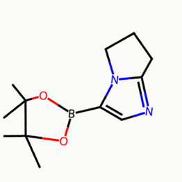 CC1(C)OB(c2cnc3n2CCC3)OC1(C)C